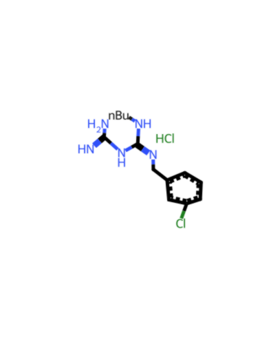 CCCCNC(=NCc1cccc(Cl)c1)NC(=N)N.Cl